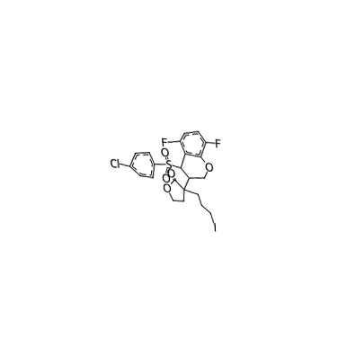 O=C1OCCC1(CCCI)C1COc2c(F)ccc(F)c2C1S(=O)(=O)c1ccc(Cl)cc1